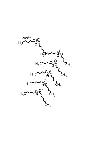 CCCCCOP(=O)([O-])OCCCCC.CCCCCOP(=O)([O-])OCCCCC.CCCCCOP(=O)([O-])OCCCCC.CCCCCOP(=O)([O-])OCCCCC.CCCCCOP(=O)([O-])OCCCCC.CCCCCOP(=O)([O-])OCCCCC.[Mo+6]